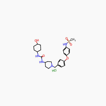 CS(=O)(=O)Nc1ccc(Oc2ccc(CN3CCC(NC(=O)NC4CCC(O)CC4)CC3)cc2)cc1.Cl